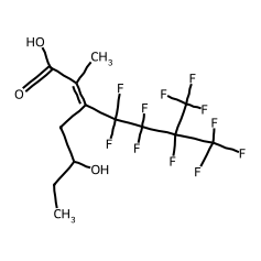 CCC(O)CC(=C(C)C(=O)O)C(F)(F)C(F)(F)C(F)(C(F)(F)F)C(F)(F)F